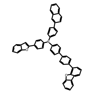 c1ccc2cc(-c3ccc(N(c4ccc(-c5ccc(-c6cccc7c6oc6ccccc67)cc5)cc4)c4ccc(-c5cc6ccccc6o5)cc4)cc3)ccc2c1